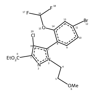 CCOC(=O)c1nn(CCOC)c(-c2ccc(Br)cc2OC(F)F)c1Cl